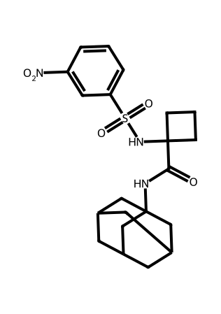 O=C(NC12CC3CC(CC(C3)C1)C2)C1(NS(=O)(=O)c2cccc([N+](=O)[O-])c2)CCC1